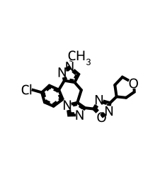 Cn1cc2c(n1)-c1cc(Cl)ccc1-n1cnc(-c3nc(C4CCOCC4)no3)c1C2